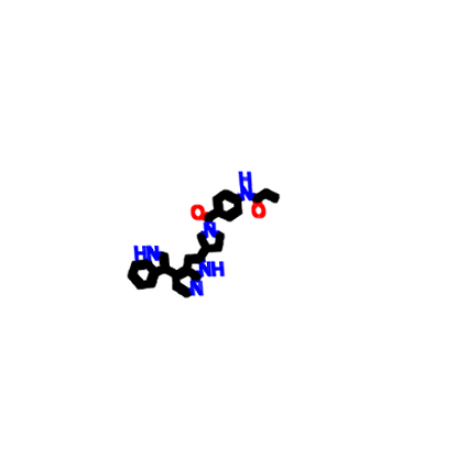 C=CC(=O)Nc1ccc(C(=O)N2CCC(c3cc4c(-c5c[nH]c6ccccc56)ccnc4[nH]3)C2)cc1